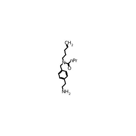 C=CCCCN(Cc1ccc(CCN)cc1)C(=O)CCC